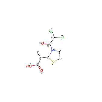 CC(C(=O)O)C1SCCN1C(=O)C(Cl)Cl